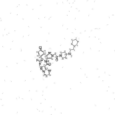 CN(CCC1CCCCC1)C1CCN(C(=O)Cn2cc(NC(=O)c3cnn4cccnc34)c(-c3cc(Cl)ccc3OC(F)F)n2)CC1